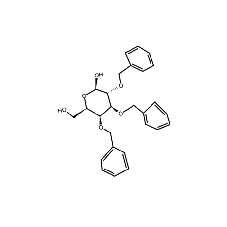 OC[C@H]1O[C@@H](O)[C@H](OCc2ccccc2)[C@@H](OCc2ccccc2)[C@H]1OCc1ccccc1